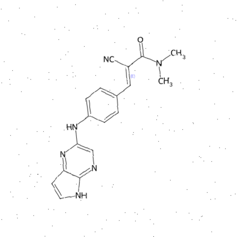 CN(C)C(=O)/C(C#N)=C/c1ccc(Nc2cnc3[nH]ccc3n2)cc1